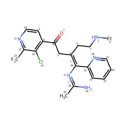 CCNCC/C(CC(=O)c1ccnc(C(F)(F)F)c1Cl)=C(/N=C(/C)N)c1ccccn1